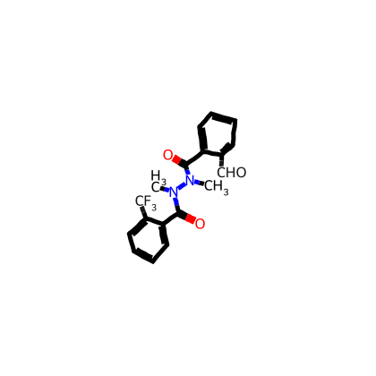 CN(C(=O)c1ccccc1C=O)N(C)C(=O)c1ccccc1C(F)(F)F